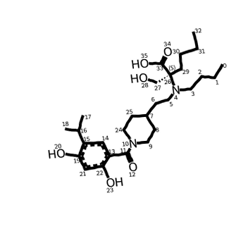 CCCCN(CCC1CCN(C(=O)c2cc(C(C)C)c(O)cc2O)CC1)[C@](CO)(CCCC)C(=O)O